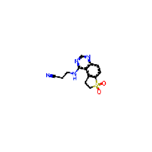 N#CCCNc1ncnc2ccc3c(c12)CCS3(=O)=O